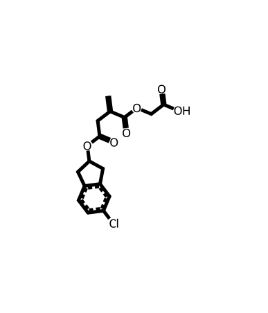 C=C(CC(=O)OC1Cc2ccc(Cl)cc2C1)C(=O)OCC(=O)O